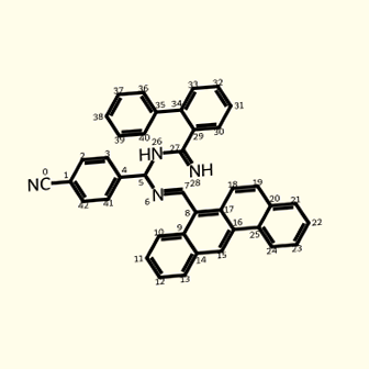 N#Cc1ccc(C(/N=C/c2c3ccccc3cc3c2ccc2ccccc23)NC(=N)c2ccccc2-c2ccccc2)cc1